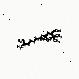 CCCCCCCCC(CC(O)CNCCCCC(C)N)C(C)(C)C(=O)O